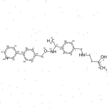 C=C(O)CCNCc1ccc(C(C)NOCc2ccc(-c3cccnc3)cc2)cc1